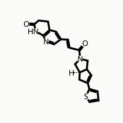 O=C1CCc2cc(/C=C/C(=O)N3CC4C=C(c5cccs5)C[C@H]4C3)cnc2N1